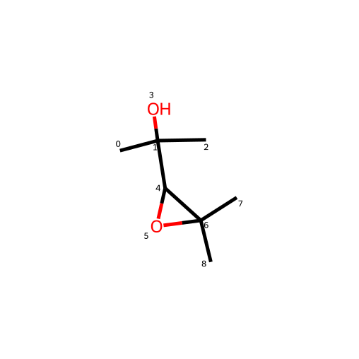 CC(C)(O)C1OC1(C)C